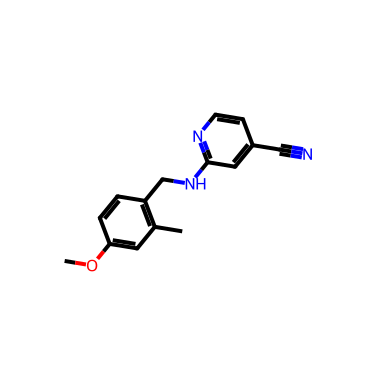 COc1ccc(CNc2cc(C#N)ccn2)c(C)c1